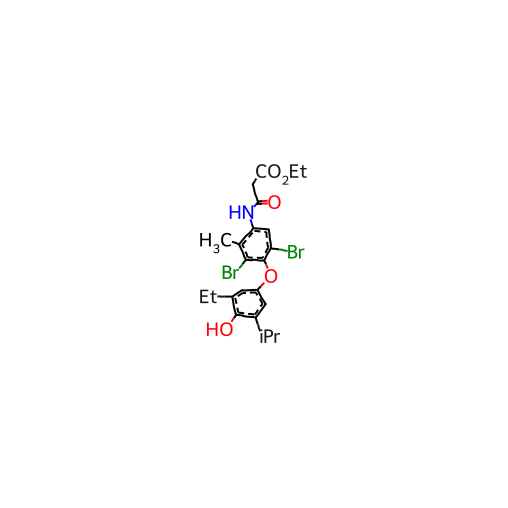 CCOC(=O)CC(=O)Nc1cc(Br)c(Oc2cc(CC)c(O)c(C(C)C)c2)c(Br)c1C